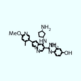 CCc1cc(O)ccc1/N=C(\N)c1cnn2cc(-c3cnc(OC)cc3C)cc2c1N[C@@H]1CC[C@H](N)C1